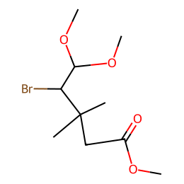 COC(=O)CC(C)(C)C(Br)C(OC)OC